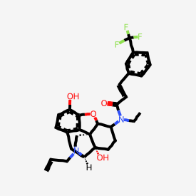 C=CCN1CC[C@]23c4c5ccc(O)c4OC2C(N(CC)C(=O)/C=C/c2cccc(C(F)(F)F)c2)CC[C@@]3(O)[C@H]1C5